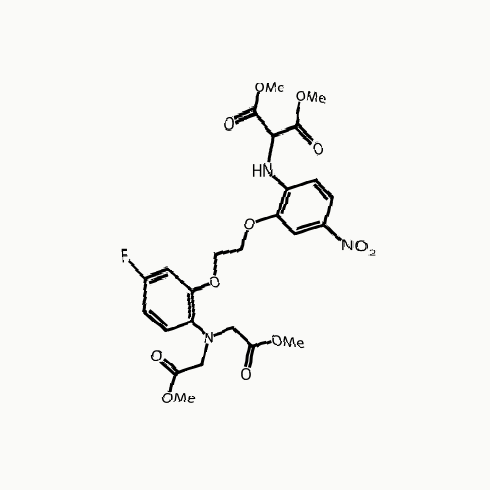 COC(=O)CN(CC(=O)OC)c1ccc(F)cc1OCCOc1cc([N+](=O)[O-])ccc1NC(C(=O)OC)C(=O)OC